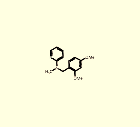 COc1ccc(CN(C)c2ccccn2)c(OC)c1